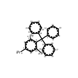 CC(C)c1[c]c(C(C)C)c(C(c2ccccc2)(c2ccccc2)c2ccccc2)c(C(C)C)c1